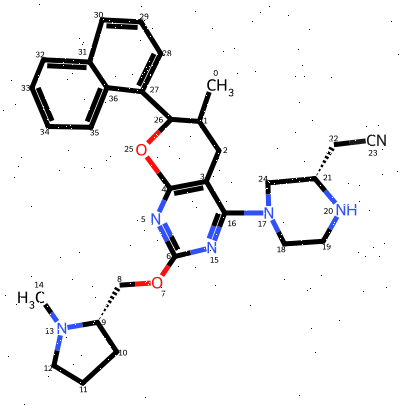 CC1Cc2c(nc(OC[C@@H]3CCCN3C)nc2N2CCN[C@@H](CC#N)C2)OC1c1cccc2ccccc12